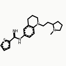 CN1CCCC1CCN1CCCc2cc(NC(=N)c3cccs3)ccc21